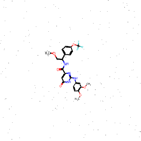 COCC(NC(=O)c1cc(=O)[nH]c(Nc2ccc(OC)c(OC)c2)n1)c1ccc(OC(F)(F)F)cc1